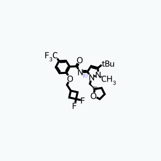 Cn1c(C(C)(C)C)c/c(=N\C(=O)c2cc(C(F)(F)F)ccc2OCC2CC(F)(F)C2)n1C[C@H]1CCCO1